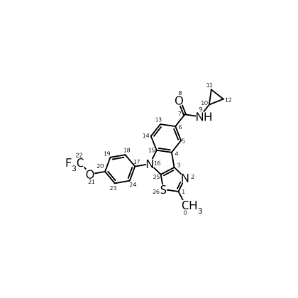 Cc1nc2c3cc(C(=O)NC4CC4)ccc3n(-c3ccc(OC(F)(F)F)cc3)c2s1